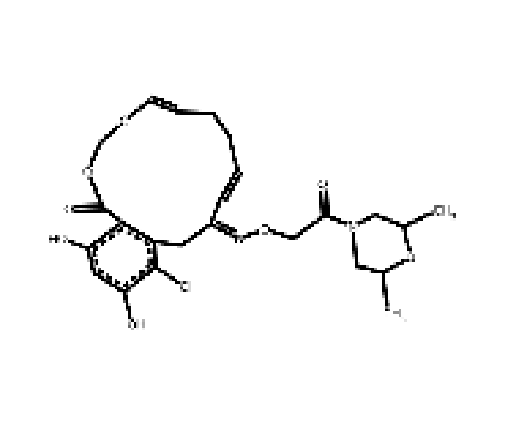 CC1CN(C(=O)CO/N=C2\C=C\CC/C=C/CCOC(=O)c3c(O)cc(O)c(Cl)c3C2)CC(C)O1